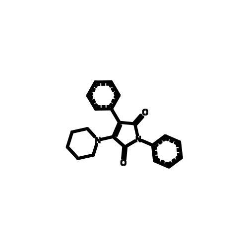 O=C1C(c2ccccc2)=C(N2CCCCC2)C(=O)N1c1ccccc1